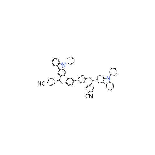 N#CC1=CCC(C(Cc2ccc(-c3ccc(CC(C4=CC=C5C(C4)C4CCC=CC4N5C4=CC=CCC4)c4ccc(C#N)cc4)cc3)cc2)c2ccc3c(c2)c2ccccc2n3C2C=CC=CC2)C=C1